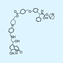 O=C(NC(c1ccccc1)c1cccc(OCc2ccc(C(=O)OCC3CCN(c4ccc(CNCC(O)c5ccc(O)c6[nH]c(=O)ccc56)cc4)CC3)cc2)c1)O[C@H]1CN2CCC1CC2